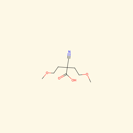 COCCC(C#N)(CCOC)C(=O)O